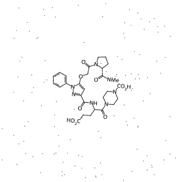 CNC(=O)C1CCCN1C(=O)COc1cc(C(=O)NC(CCC(=O)O)C(=O)N2CCN(C(=O)O)CC2)nn1-c1ccccc1